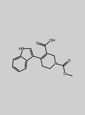 COC(=O)N1CCC(c2c[nH]c3ccccc23)=C(C(=O)O)C1